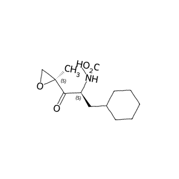 C[C@@]1(C(=O)[C@H](CC2CCCCC2)NC(=O)O)CO1